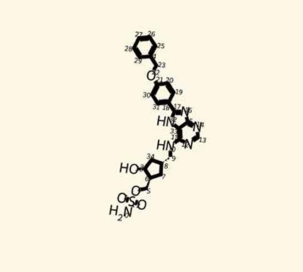 NS(=O)(=O)OC[C@@H]1C[C@@H](CNc2ncnc3nc(-c4ccc(OCc5ccccc5)cc4)[nH]c23)C[C@@H]1O